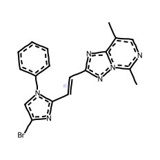 Cc1cnc(C)n2nc(/C=C/c3nc(Br)cn3-c3ccccc3)nc12